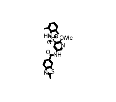 COc1ncc(NC(=O)c2ccc3nc(C)sc3c2)cc1S(=O)(=O)Nc1c(C)cccc1C